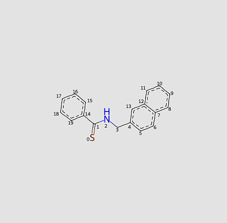 S=C(NCc1ccc2ccccc2c1)c1ccccc1